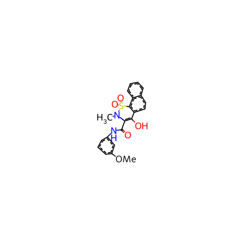 COc1cccc(NC(=O)C2=C(O)c3ccc4ccccc4c3S(=O)(=O)N2C)c1